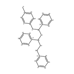 Cc1ccc(CC(CC(CCc2ccccc2)c2ccccc2)c2ccccc2)cc1